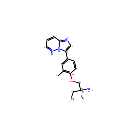 Cc1cc(-c2cnc3cccnn23)ccc1OC[C@@](C)(N)CC(C)C